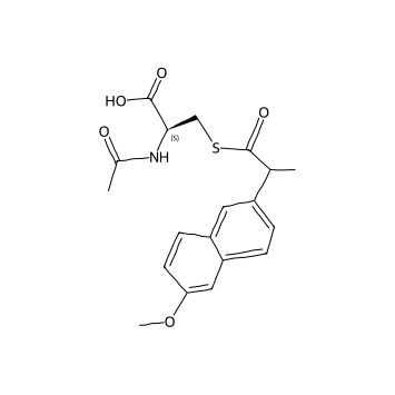 COc1ccc2cc(C(C)C(=O)SC[C@@H](NC(C)=O)C(=O)O)ccc2c1